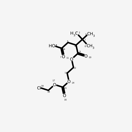 CC(C)(C)C(CC(=O)O)C(=O)OCCOC(=O)OCCl